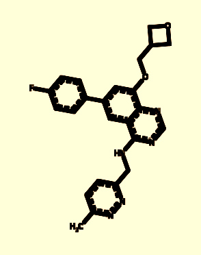 Cc1ccc(CNc2ncnc3c(OCC4COC4)cc(-c4ccc(F)cc4)cc23)nn1